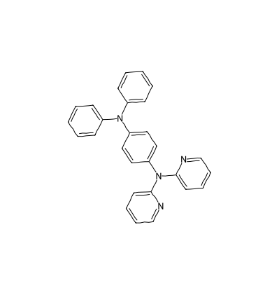 c1ccc(N(c2ccccc2)c2ccc(N(c3ccccn3)c3ccccn3)cc2)cc1